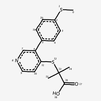 CSc1ccc(-c2cnccc2SC(C)(C)C(=O)O)cc1